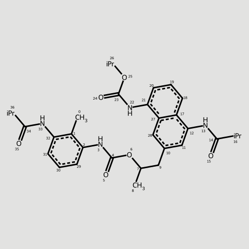 Cc1c(NC(=O)OC(C)Cc2cc(NC(=O)C(C)C)c3cccc(NC(=O)OC(C)C)c3c2)cccc1NC(=O)C(C)C